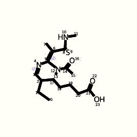 CCC(/C=N\C(=C(/C)C(=S)NC)N(C)C(C)=O)CCCCC(=O)O